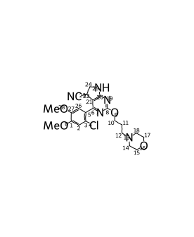 COc1cc(Cl)c(-c2nc(OCCCN3CCOCC3)nc3c2C(C#N)CN3)cc1OC